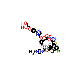 Cc1c(Cl)c2c(Cl)c(C)c1-c1c(-c3ccc(F)cc3)sc3ncnc(c13)O[C@@H](C(=O)O)Cc1cc(ccc1OCc1ccnc(-c3ccc(OC[C@H](O)CO)cc3)n1)OCC(CN1CCN(C)CC1)O2